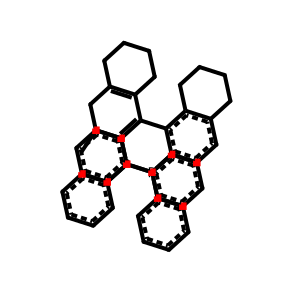 CC1CC2=C(CCCC2)C(c2c(P(c3ccccc3)c3ccccc3)ccc3c2CCCC3)=C1P(c1ccccc1)c1ccccc1